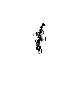 O=C(COCC1CC1)NC1CC(NC(=O)COc2ccc(Cl)cc2)C1